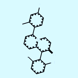 Cc1cc(F)ccc1-c1cccc2c(-c3c(Cl)cccc3Cl)c(=O)ccn12